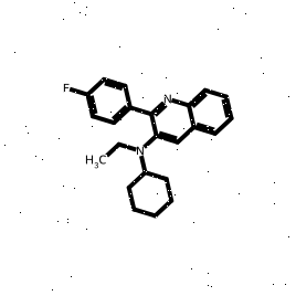 CCN(c1cc2ccccc2nc1-c1ccc(F)cc1)C1CCCCC1